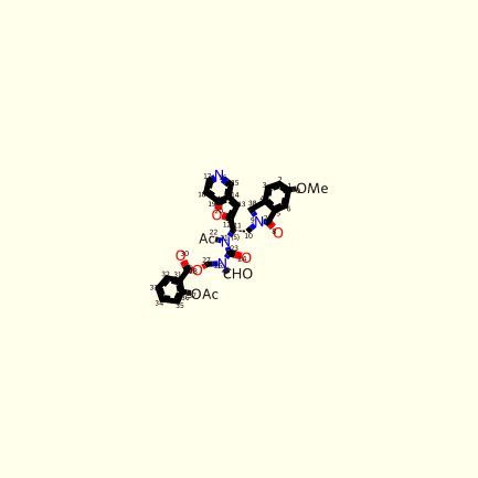 COc1ccc2c(c1)C(=O)N(C[C@@H](c1cc3cnccc3o1)N(C(C)=O)C(=O)N(C=O)COC(=O)c1ccccc1OC(C)=O)C2